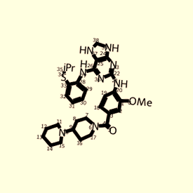 COc1cc(C(=O)N2CCC(N3CCCCC3)CC2)ccc1Nc1nc2c(c(Nc3ccccc3SC(C)C)n1)NCN2